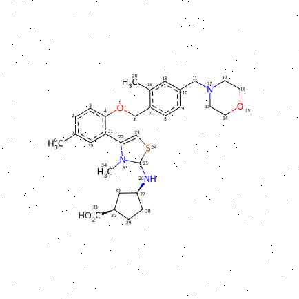 Cc1ccc(OCc2ccc(CN3CCOCC3)cc2C)c(C2=CSC(N[C@H]3CC[C@@H](C(=O)O)C3)N2C)c1